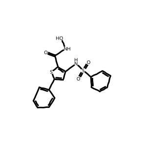 O=C(NO)c1sc(-c2ccccc2)cc1NS(=O)(=O)c1ccccc1